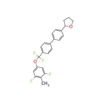 Cc1c(F)cc(OC(F)(F)c2ccc(-c3ccc(C4CCCO4)cc3)cc2)cc1F